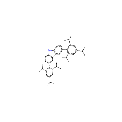 CC(C)c1cc(C(C)C)c(-c2ccc3c(c2)-c2cc(-c4c(C(C)C)cc(C(C)C)cc4C(C)C)ccc2[N]3)c(C(C)C)c1